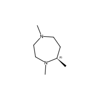 C[C@@H]1CCN(C)CCN1C